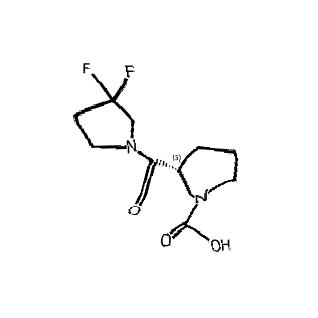 O=C([C@@H]1CCCN1C(=O)O)N1CCC(F)(F)C1